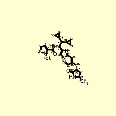 CCn1nccc1C(=O)N[C@H](c1cn2ncc(C[C@@H]3C[C@@H](C(F)(F)F)NC3=O)cc2n1)C(C1CC1)C1CC1